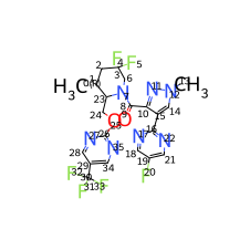 C[C@@H]1CC(F)(F)CN(C(=O)c2nn(C)cc2-c2ncc(F)cn2)C1COc1ncc(C(F)(F)F)cn1